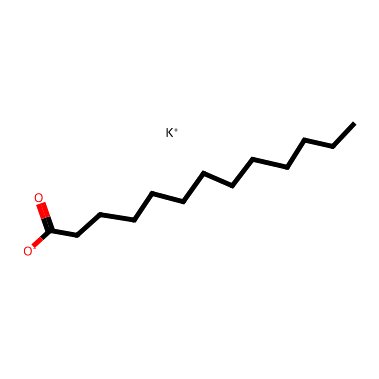 CCCCCCCCCCCCC(=O)[O-].[K+]